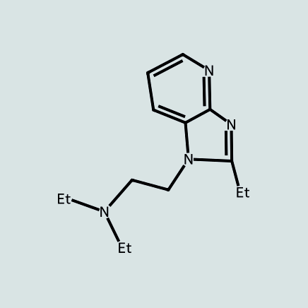 CCc1nc2ncccc2n1CCN(CC)CC